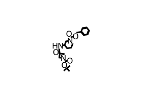 CC(C)(C)OC(=O)N1CC2(C1)OC2NC1CCCN(C(=O)OCc2ccccc2)C1